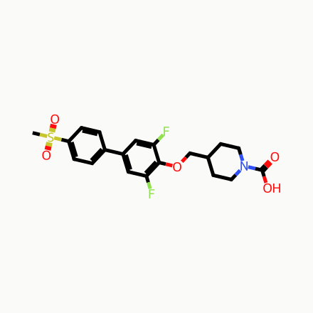 CS(=O)(=O)c1ccc(-c2cc(F)c(OCC3CCN(C(=O)O)CC3)c(F)c2)cc1